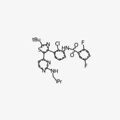 CC(C)CNc1nccc(-c2sc(C(C)(C)C)nc2-c2cccc(NS(=O)(=O)c3cc(F)ccc3F)c2Cl)n1